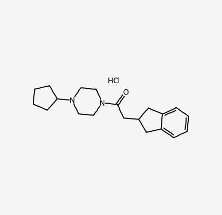 Cl.O=C(CC1Cc2ccccc2C1)N1CCN(C2CCCC2)CC1